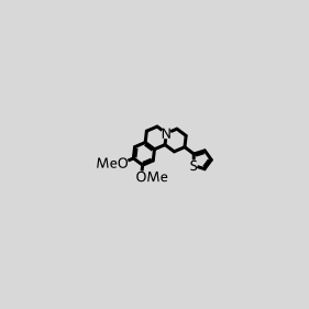 COc1cc2c(cc1OC)C1CC(c3cccs3)CCN1CC2